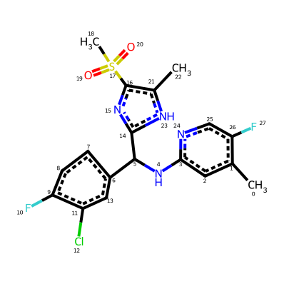 Cc1cc(NC(c2ccc(F)c(Cl)c2)c2nc(S(C)(=O)=O)c(C)[nH]2)ncc1F